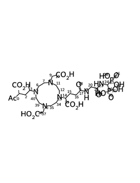 CC(=O)CCC(C(=O)O)N1CCN(CC(=O)O)CCN(C(CCC(=O)NCC(=O)NC(P(=O)(O)O)P(=O)(O)O)C(=O)O)CCN(CC(=O)O)CC1